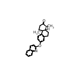 CN1C(=O)CC[C@]2(C)c3ccc(Oc4ccc5ccccc5n4)cc3CC[C@@H]12